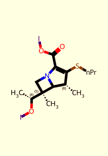 CCCSC1=C(C(=O)OI)N2C[C@](C)([C@@H](C)OI)C2[C@H]1C